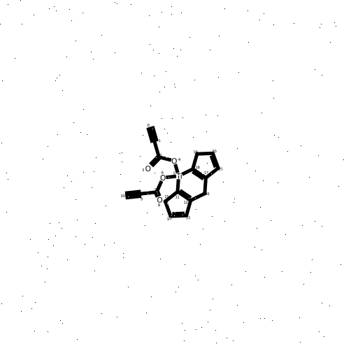 C#CC(=O)[O][Ti]1([O]C(=O)C#C)[C]2=C(C=CC2)CC2=[C]1CC=C2